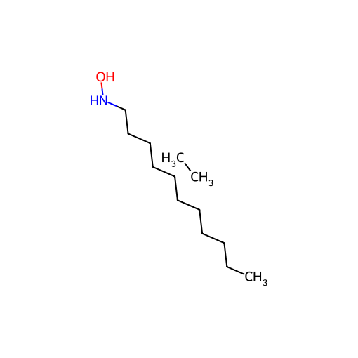 CC.CCCCCCCCCCCNO